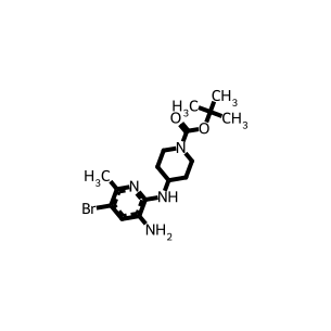 Cc1nc(NC2CCN(C(=O)OC(C)(C)C)CC2)c(N)cc1Br